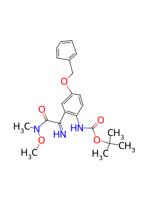 CON(C)C(=O)C(=N)c1cc(OCc2ccccc2)ccc1NC(=O)OC(C)(C)C